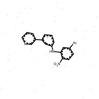 CC(=O)c1ccc([N+](=O)[O-])c(Nc2cccc(-c3cccnc3)c2)c1